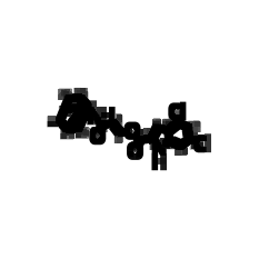 O=C(C=COC(=O)c1cc2c(Cl)cc(Cl)cc2[nH]1)NC12CC3CC(CC(C3)C1)C2